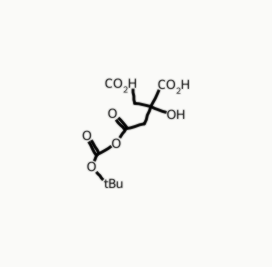 CC(C)(C)OC(=O)OC(=O)CC(O)(CC(=O)O)C(=O)O